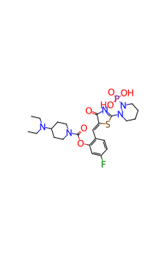 CCN(CC)C1CCN(C(=O)Oc2cc(F)ccc2/C=C2\SC(N3CCCCN3P(=O)(O)O)=NC2=O)CC1